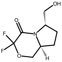 O=C1N2[C@H](CO)CC[C@H]2COC1(F)F